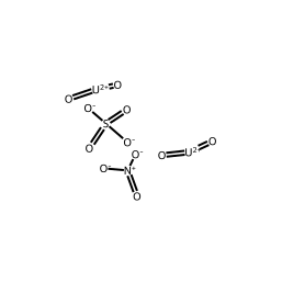 O=S(=O)([O-])[O-].O=[N+]([O-])[O-].[O]=[U+2]=[O].[O]=[U+2]=[O]